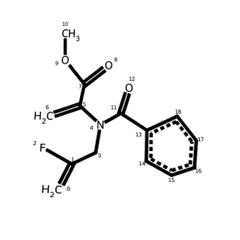 C=C(F)CN(C(=C)C(=O)OC)C(=O)c1ccccc1